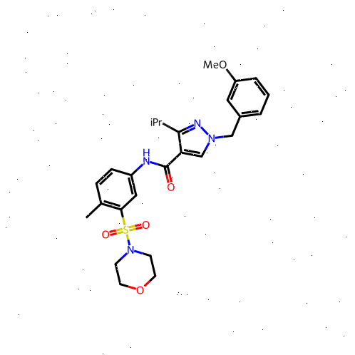 COc1cccc(Cn2cc(C(=O)Nc3ccc(C)c(S(=O)(=O)N4CCOCC4)c3)c(C(C)C)n2)c1